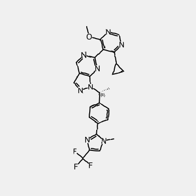 COc1ncnc(C2CC2)c1-c1ncc2cnn([C@H](C)c3ccc(-c4nc(C(F)(F)F)cn4C)cc3)c2n1